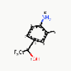 Cc1cc(C(O)C(F)(F)F)ccc1N